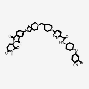 N#Cc1ccc(O[C@H]2CC[C@H](NC(=O)c3ccc(N4CCC(CN5CCC6(CC5)CN(c5ccc7c(c5)C(=O)N(C5CCC(=O)NC5=O)C7=O)C6)CC4)nn3)CC2)cc1Br